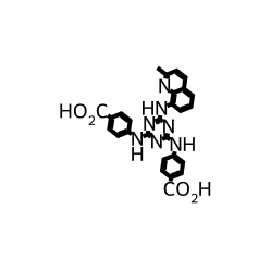 Cc1ccc2cccc(Nc3nc(Nc4ccc(C(=O)O)cc4)nc(Nc4ccc(C(=O)O)cc4)n3)c2n1